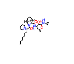 C=CCCCCC[C@@H](C(=O)N1C[C@@H]2CCC[C@@H]2[C@H]1C(=O)NC(CC=C)C(O)C(=O)NC1CC1)N1CCCCC1